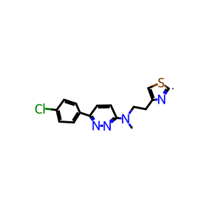 CN(CCc1cs[c]n1)c1ccc(-c2ccc(Cl)cc2)nn1